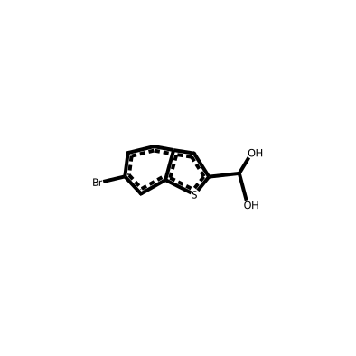 OC(O)c1cc2ccc(Br)cc2s1